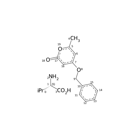 CC(C)[C@H](N)C(=O)O.Cc1cc(OCc2ccccc2)cc(=O)o1